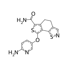 NC(=O)c1sc(Oc2ccc(N)nc2)c2c1CCc1cnsc1-2